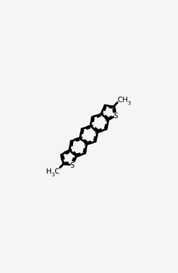 Cc1cc2cc3cc4cc5cc(C)sc5cc4cc3cc2s1